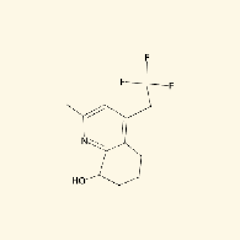 Cc1cc(CC(F)(F)F)c2c(n1)C(O)CCC2